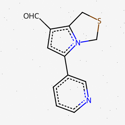 O=Cc1cc(-c2cccnc2)n2c1CSC2